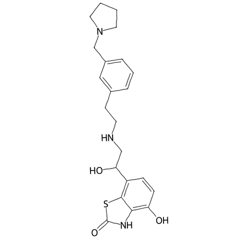 O=c1[nH]c2c(O)ccc(C(O)CNCCc3cccc(CN4CCCC4)c3)c2s1